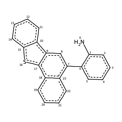 Nc1ccccc1-c1cc2c3ccccc3sc2c2ccccc12